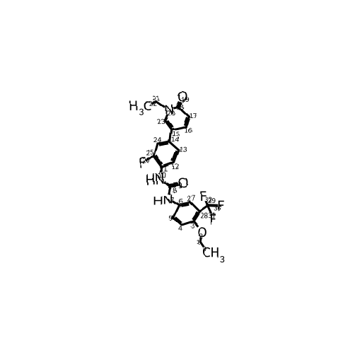 CCOc1ccc(NC(=O)Nc2ccc(-c3ccc(=O)n(CC)c3)cc2F)cc1C(F)(F)F